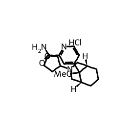 COC1(c2ccnc(C(N)=O)c2)[C@@H]2CCC[C@H]1CN(C1CCOC1)C2.Cl